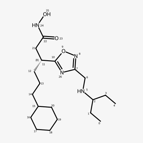 CCC(CC)NCc1noc([C@H](CCCC2CCCCC2)CC(=O)NO)n1